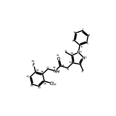 Cc1nn(-c2ccccc2)c(C)c1CC(=O)NCc1c(F)cccc1Cl